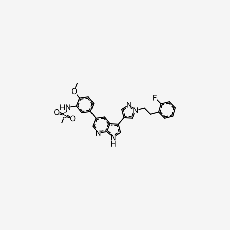 COc1ccc(-c2cnc3[nH]cc(-c4cnn(CCc5ccccc5F)c4)c3c2)cc1NS(C)(=O)=O